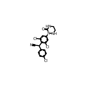 N#CC(c1ccc(Cl)cc1)c1c(Cl)cc(N2NCCNC2=O)cc1Cl